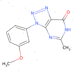 COc1cccc(-n2nnc3c(=O)[nH]c(C)nc32)c1